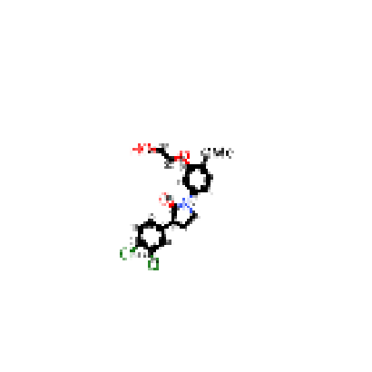 COc1ccc(N2CCC(c3ccc(Cl)c(Cl)c3)C2=O)cc1OCCO